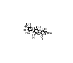 CC(C)(C)C[C@H](O)[C@@H](O)[C@H](O[C@H]1O[C@H](CO)[C@@H](O[C@H]2O[C@H](CO)[C@@H](O)[C@H](O)[C@H]2O)[C@H](O)[C@H]1O)[C@H](O)CO